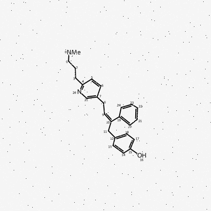 CNCCCc1ccc(CC=C(Cc2ccc(O)cc2)c2ccccc2)cn1